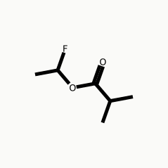 CC(F)OC(=O)C(C)C